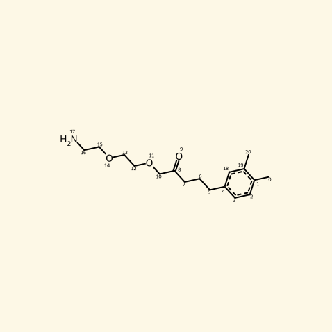 Cc1ccc(CCCC(=O)COCCOCCN)cc1C